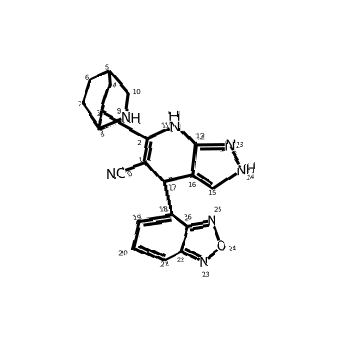 N#CC1=C(C2CC3CCC2NC3)Nc2n[nH]cc2C1c1cccc2nonc12